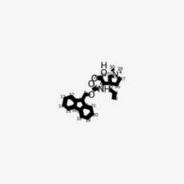 C=CC[C@@]1([C@@H](NC(=O)OCC2c3ccccc3-c3ccccc32)C(=O)O)CC[N+](C)(C)C1